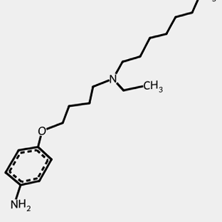 CCCCCCCN(CC)CCCCOc1ccc(N)cc1